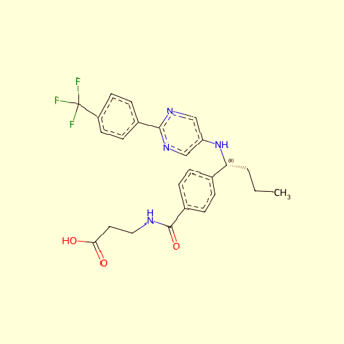 CCC[C@@H](Nc1cnc(-c2ccc(C(F)(F)F)cc2)nc1)c1ccc(C(=O)NCCC(=O)O)cc1